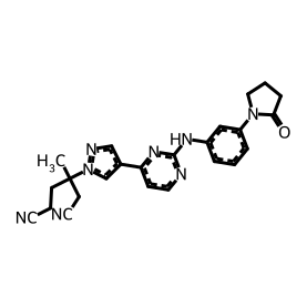 CC(CC#N)(CCC#N)n1cc(-c2ccnc(Nc3cccc(N4CCCC4=O)c3)n2)cn1